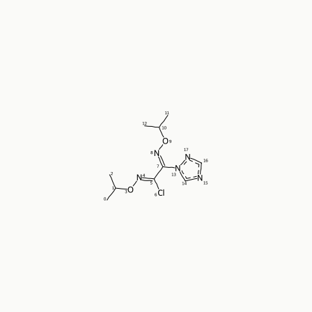 CC(C)O/N=C(Cl)/C(=N/OC(C)C)n1cncn1